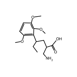 CCC(CC(CN)C(=O)O)c1c(OC)ccc(OC)c1OC